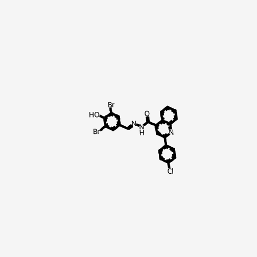 O=C(NN=Cc1cc(Br)c(O)c(Br)c1)c1cc(-c2ccc(Cl)cc2)nc2ccccc12